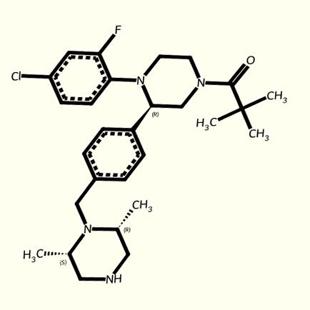 C[C@@H]1CNC[C@H](C)N1Cc1ccc([C@@H]2CN(C(=O)C(C)(C)C)CCN2c2ccc(Cl)cc2F)cc1